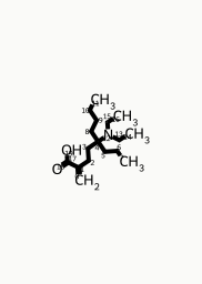 C=C(CCC(CCC)(CCCC)N(CC)CC)C(=O)O